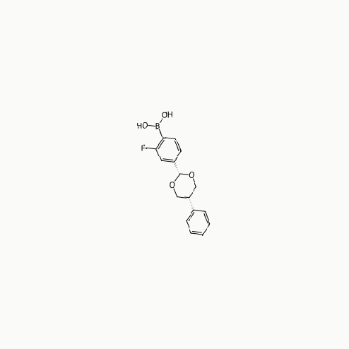 OB(O)c1ccc([C@H]2OC[C@@H](c3ccccc3)CO2)cc1F